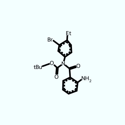 CCc1ccc(N(C(=O)OC(C)(C)C)C(=O)c2ccccc2N)cc1Br